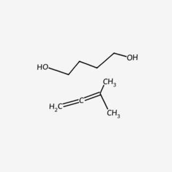 C=C=C(C)C.OCCCCO